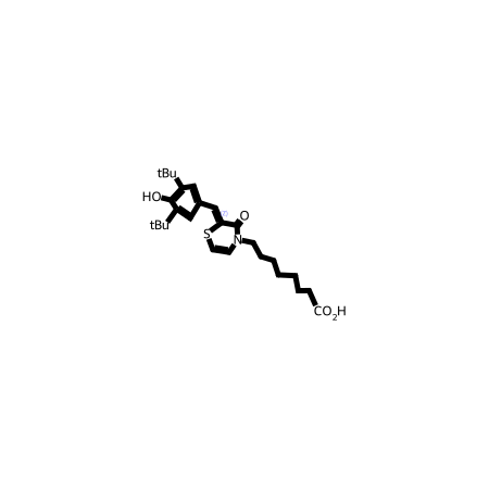 CC(C)(C)c1cc(/C=C2\SC=CN(CCCCCCCC(=O)O)C2=O)cc(C(C)(C)C)c1O